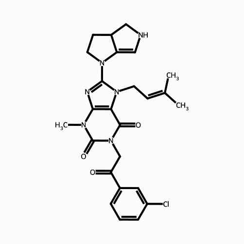 CC(C)=CCn1c(N2CCC3CNC=C32)nc2c1c(=O)n(CC(=O)c1cccc(Cl)c1)c(=O)n2C